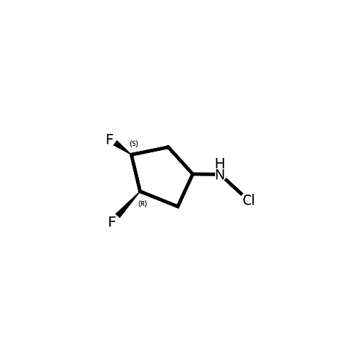 F[C@@H]1CC(NCl)C[C@@H]1F